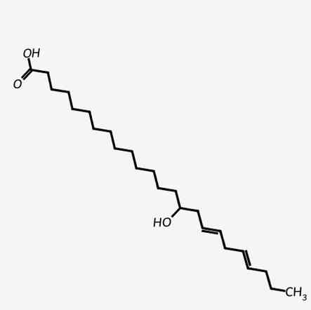 CCCC=CCC=CCC(O)CCCCCCCCCCCCCC(=O)O